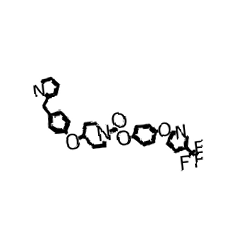 O=C(Oc1ccc(Oc2ccc(C(F)(F)F)cn2)cc1)N1CCC(Oc2ccc(Cc3ccccn3)cc2)CC1